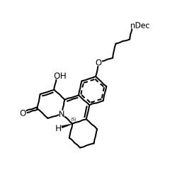 CCCCCCCCCCCCCOc1ccc2c(c1)=C1C(O)=CC(=O)CN1[C@H]1CCCCC=21